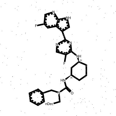 CCCCCCCCCCCN(Cc1ccccc1)C(=O)N[C@@H]1CCC[C@H](Nc2nc(-c3c[nH]c4ncc(F)cc34)ncc2F)C1